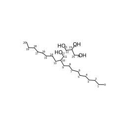 CCCCCCCCCCC(CO)CCCCCCCC.OCC(O)CO